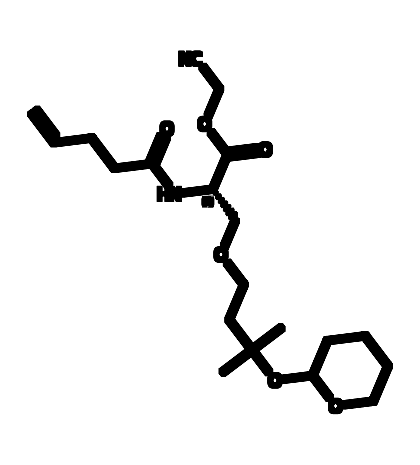 C=CCCC(=O)N[C@@H](COCCC(C)(C)OC1CCCCO1)C(=O)OCC#N